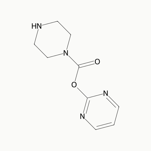 O=C(Oc1ncccn1)N1CCNCC1